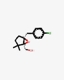 CC1(C)CC[C@@]2(Cc3ccc(Cl)cc3)O[C@@]12CO